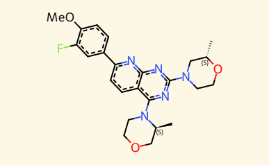 COc1ccc(-c2ccc3c(N4CCOC[C@@H]4C)nc(N4CCO[C@@H](C)C4)nc3n2)cc1F